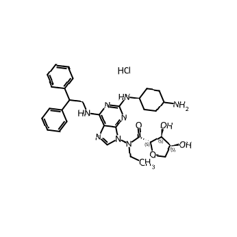 CCN(C(=O)[C@H]1OC[C@H](O)[C@@H]1O)n1cnc2c(NCC(c3ccccc3)c3ccccc3)nc(NC3CCC(N)CC3)nc21.Cl